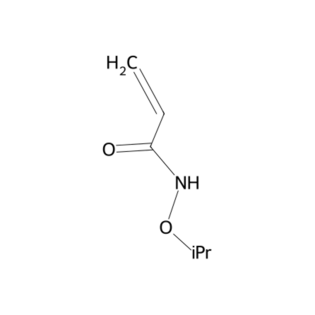 C=CC(=O)NOC(C)C